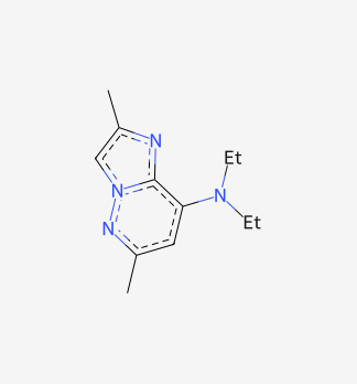 CCN(CC)c1cc(C)nn2cc(C)nc12